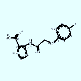 O=C(COc1ccc(I)cn1)Nc1ccsc1C(=O)O